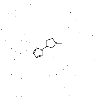 CN1CCC(n2c[c]cn2)C1